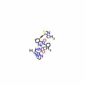 Cc1ncsc1C#Cc1cccc2nc(C(C)NC(=O)c3c(C)nn4cccnc34)n(-c3ccccc3)c(=O)c12